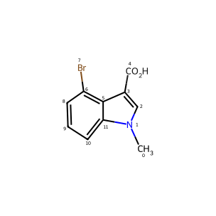 Cn1cc(C(=O)O)c2c(Br)cccc21